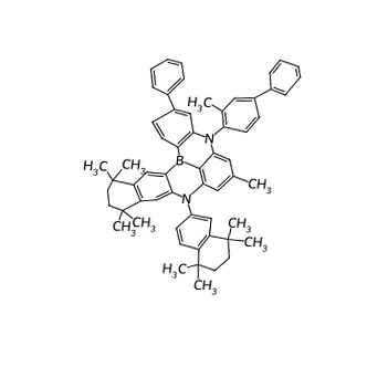 Cc1cc2c3c(c1)N(c1ccc(-c4ccccc4)cc1C)c1cc(-c4ccccc4)ccc1B3c1cc3c(cc1N2c1ccc2c(c1)C(C)(C)CCC2(C)C)C(C)(C)CCC3(C)C